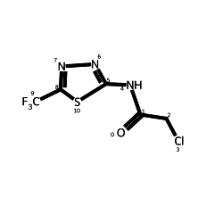 O=C(CCl)Nc1nnc(C(F)(F)F)s1